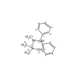 CN([SiH](c1ccccc1)c1ccccc1)[Si](C)(C)C